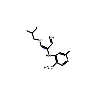 N=C/C(=C\NCC(F)F)Nc1cc(Cl)ncc1C(=O)O